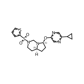 O=S(=O)(c1cccs1)N1CC[C@@H]2CC[C@H](Oc3cnc(C4CC4)cn3)N2C1